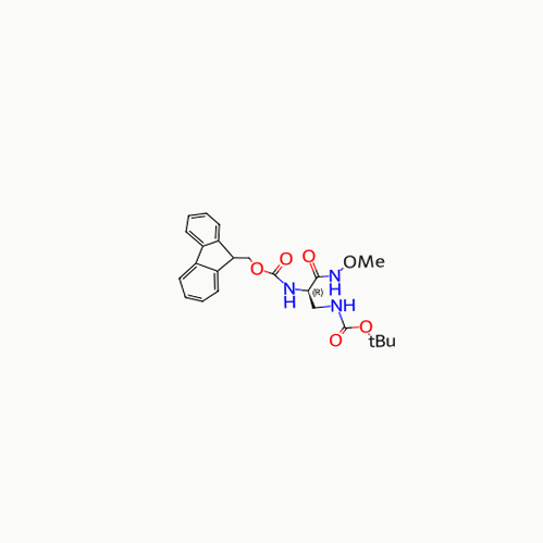 CONC(=O)[C@@H](CNC(=O)OC(C)(C)C)NC(=O)OCC1c2ccccc2-c2ccccc21